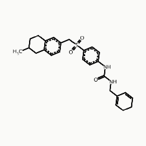 CC1CCc2cc(CS(=O)(=O)c3ccc(NC(=O)NCC4=CCCC=C4)cc3)ccc2C1